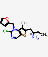 CC[C@H](N)Cc1sc2c(c1C)N(Cc1ccco1)C(Cl)N=C2